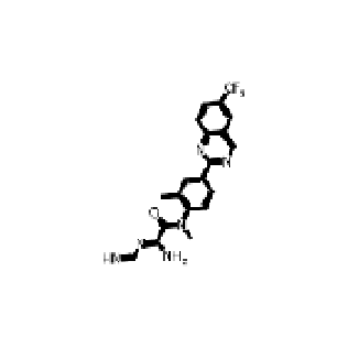 Cc1cc(-c2ncc3cc(C(F)(F)F)ccc3n2)ccc1N(C)C(=O)/C(N)=N/C=N